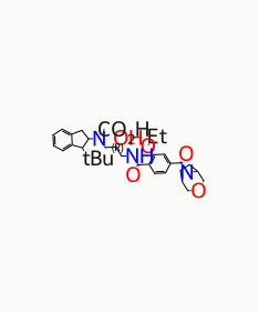 CCOc1cc(C(=O)N2C3CCC2COC3)ccc1C(=O)NC[C@@H](O)CN(C(=O)O)C1Cc2ccccc2C1C(C)(C)C